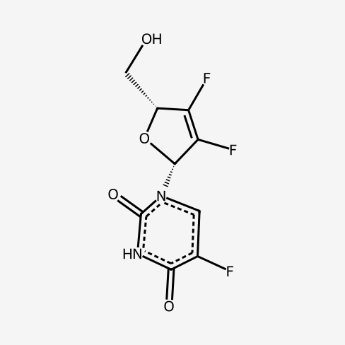 O=c1[nH]c(=O)n([C@@H]2O[C@H](CO)C(F)=C2F)cc1F